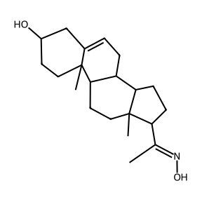 C/C(=N\O)C1CCC2C3CC=C4CC(O)CCC4(C)C3CCC12C